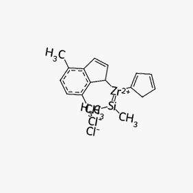 Cc1ccc(C)c2c1C=C[CH]2[Zr+2]([C]1=CC=CC1)=[Si](C)C.[Cl-].[Cl-]